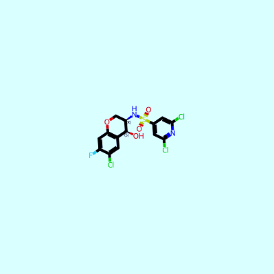 O=S(=O)(N[C@@H]1COc2cc(F)c(Cl)cc2[C@@H]1O)c1cc(Cl)nc(Cl)c1